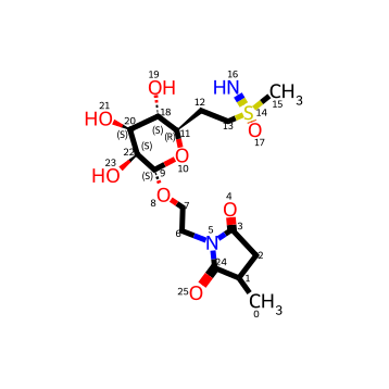 CC1CC(=O)N(CCO[C@H]2O[C@H](CCS(C)(=N)=O)[C@@H](O)[C@H](O)[C@@H]2O)C1=O